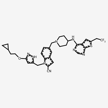 N#Cc1cc2cc(CN3CCC(Nc4ncnc5sc(CC(F)(F)F)cc45)CC3)ccc2n1Cc1cc(OCCC2CC2)n[nH]1